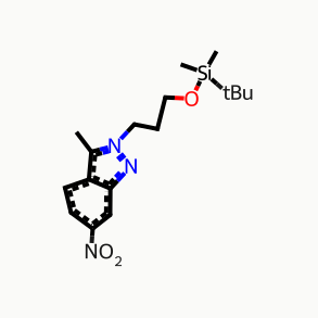 Cc1c2ccc([N+](=O)[O-])cc2nn1CCCO[Si](C)(C)C(C)(C)C